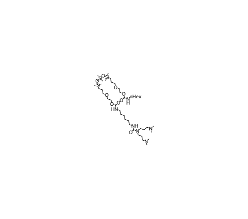 CCCCCCNC(=O)OCCOCCC[Si](C)(C)O[Si](C)(C)O[Si](C)(C)CCCOCCOC(=O)NCCCCCCNC(=O)N(CCCN(C)C)CCCN(C)C